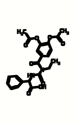 CCN(C(=O)NC(C(=O)O)c1ccccc1)C(=O)c1ccc(OC(C)=O)c(OC(C)=O)c1